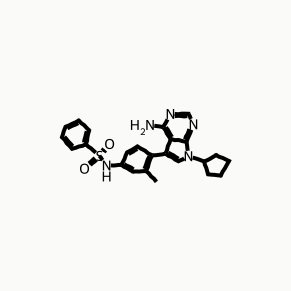 Cc1cc(NS(=O)(=O)c2ccccc2)ccc1-c1cn(C2CCCC2)c2ncnc(N)c12